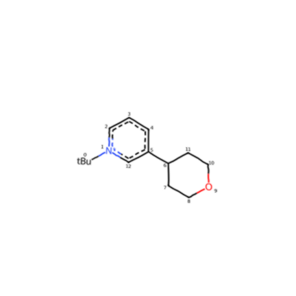 CC(C)(C)[n+]1cccc(C2CCOCC2)c1